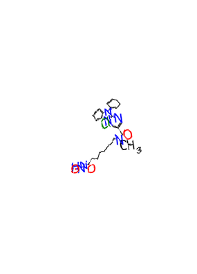 CN(CCCCCCCC(=O)NN=O)C(=O)c1cnc(N(C2=CCCC=C2)c2ccccc2Cl)nc1